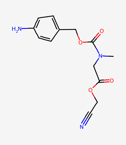 CN(CC(=O)OCC#N)C(=O)OCc1ccc(N)cc1